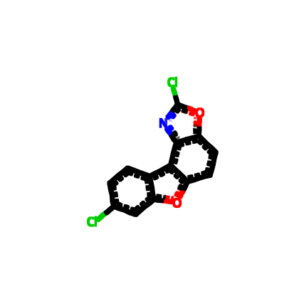 Clc1ccc2c(c1)oc1ccc3oc(Cl)nc3c12